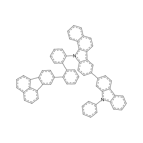 c1ccc(-n2c3ccccc3c3ccc(-c4ccc5c(c4)c4ccc6ccccc6c4n5-c4ccccc4-c4ccccc4-c4ccc5c(c4)-c4cccc6cccc-5c46)cc32)cc1